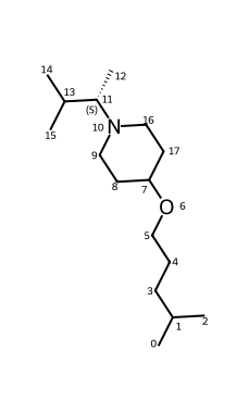 CC(C)CCCOC1CCN([C@@H](C)C(C)C)CC1